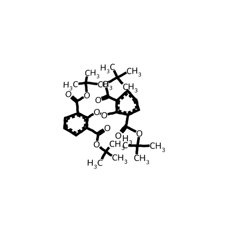 CC(C)(C)OC(=O)c1cccc(C(=O)OC(C)(C)C)c1OOc1c(C(=O)OC(C)(C)C)cccc1C(=O)OC(C)(C)C